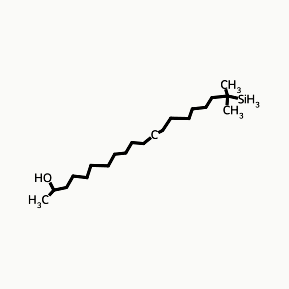 CC(O)CCCCCCCCCCCCCCCCC(C)(C)[SiH3]